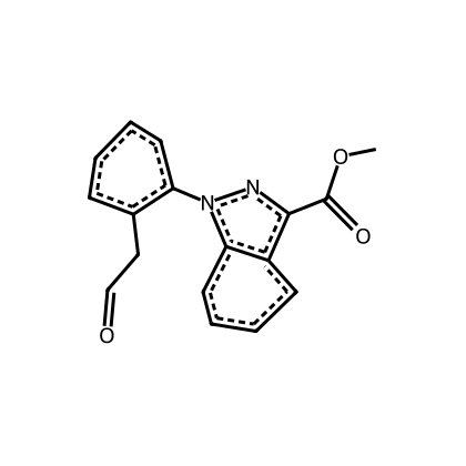 COC(=O)c1nn(-c2ccccc2CC=O)c2ccccc12